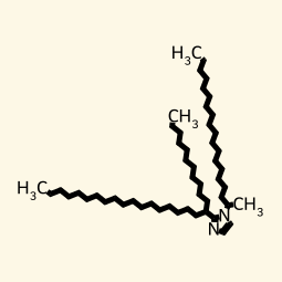 CCCCCCCCCCCCCCCCCCC(CCCCCCCCCCC)c1nccn1C(C)CCCCCCCCCCCCCCCCC